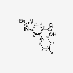 CN1CCN(c2cc3[nH]c(S)nc3cc2C(=O)O)CC1